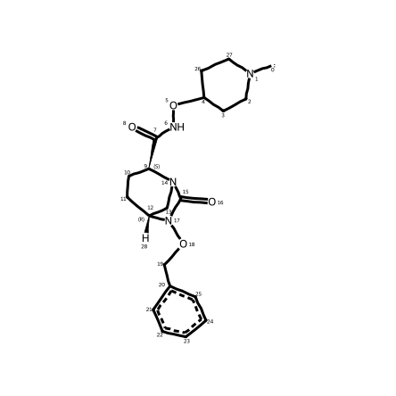 [CH]N1CCC(ONC(=O)[C@@H]2CC[C@@H]3CN2C(=O)N3OCc2ccccc2)CC1